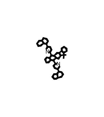 CC1(C)c2ccccc2-c2cc3c(-c4ccc(-c5cccc6ccccc56)cn4)c4ccccc4c(-c4ccc(-c5cccc6ccccc56)cn4)c3cc21